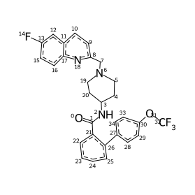 O=C(NC1CCN(Cc2ccc3cc(F)ccc3n2)CC1)c1ccccc1-c1ccc(OC(F)(F)F)cc1